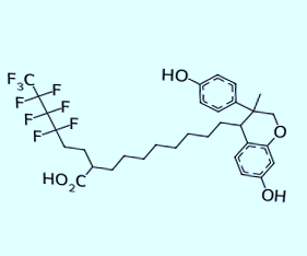 CC1(c2ccc(O)cc2)COc2cc(O)ccc2C1CCCCCCCCC(CCC(F)(F)C(F)(F)C(F)(F)C(F)(F)F)C(=O)O